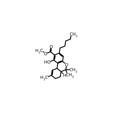 CCCCCc1cc2c(c(O)c1C(=O)OC)C1C=C(C)CC[C@H]1C(C)(C)O2